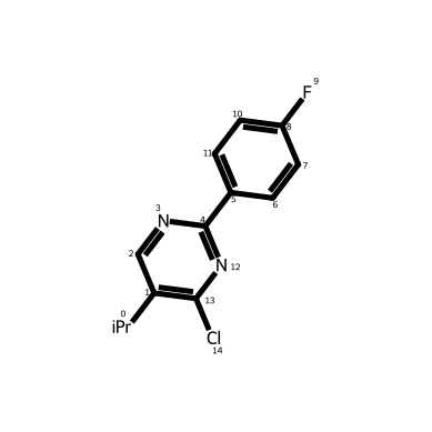 CC(C)c1cnc(-c2ccc(F)cc2)nc1Cl